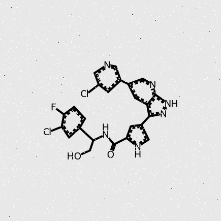 O=C(NC(CO)c1ccc(F)c(Cl)c1)c1cc(-c2n[nH]c3ncc(-c4cncc(Cl)c4)cc23)c[nH]1